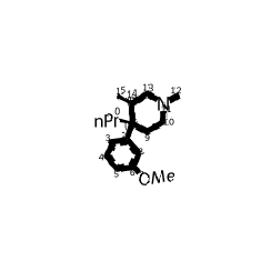 CCC[C@]1(c2cccc(OC)c2)CCN(C)C[C@@H]1C